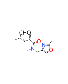 C=C(/C=C(/C)C=O)C(=O)N(C)Cc1coc(C)n1